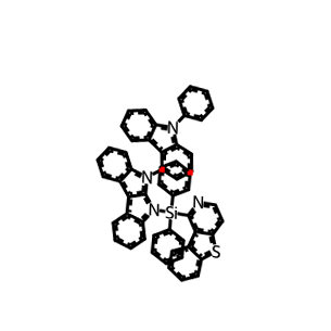 c1ccc(-n2c3ccccc3c3c(-n4c5ccccc5c5c6ccccc6n([Si](c6ccccc6)(c6ccccc6)c6nccc7sc8ccccc8c67)c54)cccc32)cc1